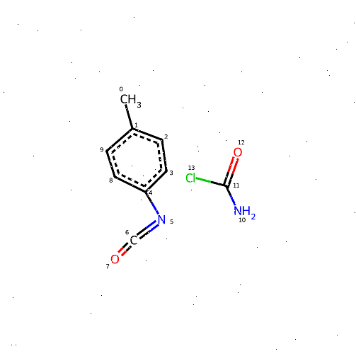 Cc1ccc(N=C=O)cc1.NC(=O)Cl